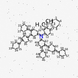 CC1(C)C2=CC=CC=CC2c2ccc(N(c3ccc(-c4ccccc4)c(-c4ccc(-c5ccccc5)cc4)c3)c3ccc(-c4ccccc4)c(-c4ccc(-c5ccccc5)cc4)c3)cc21